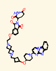 O=C1CCC(N2C(=O)c3ccc(OCCN4CC5(C4)CN(CC4CC(OC6CCN(c7ccn8c(n7)nc7ccccc78)CC6)C4)C5)cc3C2=O)C(=O)N1